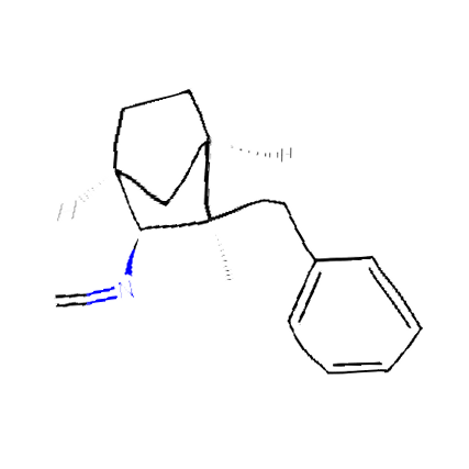 C=N[C@H]1[C@H]2CC[C@H](C2)[C@@]1(C)Cc1ccccc1